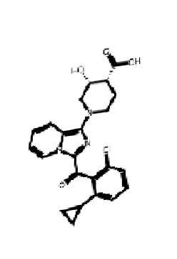 O=C(c1c(Cl)cccc1C1CC1)c1nc(N2CC[C@@H](C(=O)O)[C@@H](O)C2)c2ccccn12